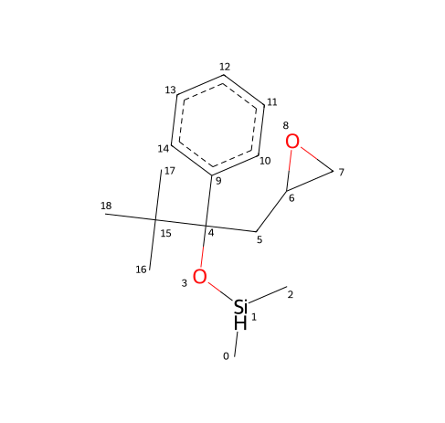 C[SiH](C)OC(CC1CO1)(c1ccccc1)C(C)(C)C